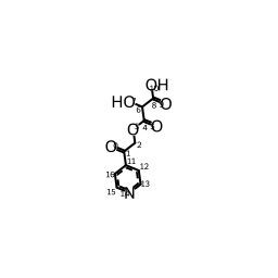 O=C(COC(=O)C(O)C(=O)O)c1ccncc1